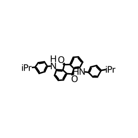 CC(C)c1ccc(Nc2cccc3c2C(=O)c2cccc(Nc4ccc(C(C)C)cc4)c2C3=O)cc1